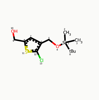 CC(C)(C)[Si](C)(C)OCc1cc(CO)sc1Cl